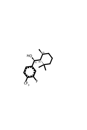 C[C@H]1CCCC(C)(C)[C@@H]1[C@H](O)c1ccc(C(F)(F)F)c(F)c1